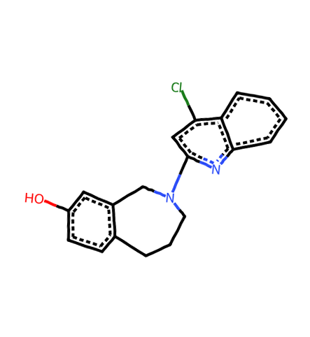 Oc1ccc2c(c1)CN(c1cc(Cl)c3ccccc3n1)CCC2